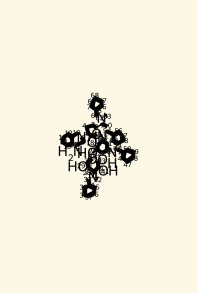 CC([C@@H]1CC[C@@H](N(CCN)Cc2ccccc2)C(OC2[C@H](O)C(OC3OC[C@](C)(O)[C@H](N(C)Cc4ccccc4)[C@H]3O)C(NCc3ccccc3)C[C@@H]2NCc2ccccc2)O1)N(C)Cc1ccccc1